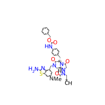 C#CCN(C(=O)NC)N1CC(=O)N2[C@@H](Cc3ccc(NC(=O)OCc4ccccc4)cc3)C(=O)N(Cc3cccc4sc(N)nc34)C[C@@H]21